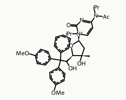 COc1ccc(C(c2ccccc2)(c2ccc(OC)cc2)C(O)[C@H]2O[C@@H]([N+]3(C(C)C)C=CC(N(C(C)=O)C(C)C)=NC3=O)C[C@]2(C)O)cc1